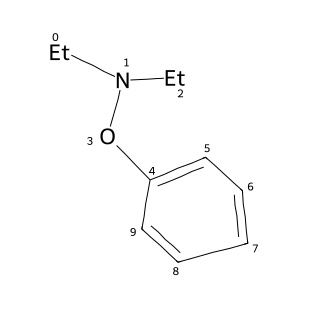 CCN(CC)Oc1ccccc1